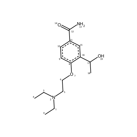 CCN(CC)CCOc1ccc(C(N)=O)cc1C(C)O